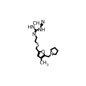 CNC(=NCCSCc1cc(C)c(CN2CCCC2)o1)NC#N